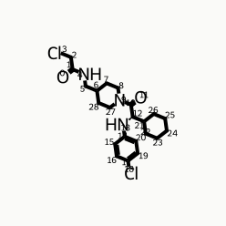 O=C(CCl)NCC1CCN(C(=O)[C@@H](Nc2ccc(Cl)cc2)C2CCCCC2)CC1